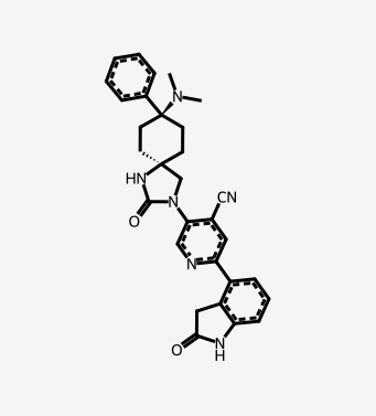 CN(C)[C@]1(c2ccccc2)CC[C@]2(CC1)CN(c1cnc(-c3cccc4c3CC(=O)N4)cc1C#N)C(=O)N2